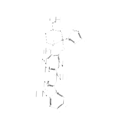 CC1CCC(C(C)C)C(Sc2cnnc(Nc3n[nH]c4ccccc34)n2)(c2cccs2)C1